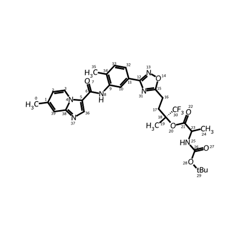 Cc1ccn2c(C(=O)Nc3cc(-c4noc(CC[C@](C)(OC(=O)C(C)NC(=O)OC(C)(C)C)C(F)(F)F)n4)ccc3C)cnc2c1